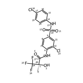 C[C@@](O)(C(=O)Nc1ccc(S(=O)(=O)Nc2ccc(Cl)cc2)cc1Cl)C(F)(F)F